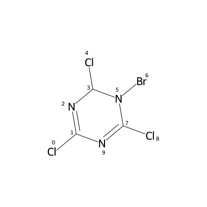 ClC1=NC(Cl)N(Br)C(Cl)=N1